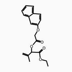 C=C(C)C(OC(=O)COc1ccc2ccccc2c1)C(=O)OCC